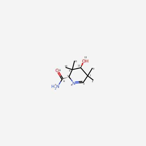 CC1(C)C=N[C@H](C(N)=O)C(C)(C)[C@H]1O